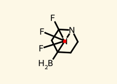 BC12CCN(CC1)N(F)C2(F)F